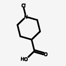 O=C(O)C1CCN(Cl)CC1